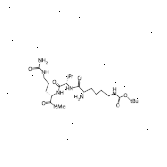 CNC(=O)[C@H](CCCNC(N)=O)NC(=O)[C@@H](NC(=O)[C@@H](N)CCCCNC(=O)OC(C)(C)C)C(C)C